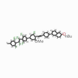 CCCCOc1ccc2cc(-c3ccc(C#Cc4c(F)cc(-c5cc(F)c(/C(F)=C(\F)c6c(F)cc(C)cc6F)c(F)c5)cc4OC)cc3)ccc2c1